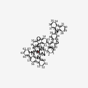 c1ccc(-c2nc(-c3cccc4oc5ccc(-c6cccc7sc8cc(-n9c%10ccccc%10c%10ccccc%109)ccc8c67)cc5c34)nc(-n3c4ccccc4c4ccc5c6ccccc6n(-c6ccccc6)c5c43)n2)cc1